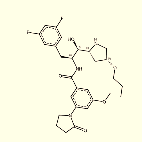 CCCO[C@H]1CN[C@@H]([C@H](O)[C@H](Cc2cc(F)cc(F)c2)NC(=O)c2cc(OC)cc(N3CCCC3=O)c2)C1